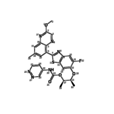 COc1cnc2c(-c3nc4cc(F)c(O[C@@H](C)[C@@H](C)OC(=O)Nc5ccnnc5)cc4s3)cc(C)cc2n1